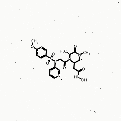 COc1ccc(S(=O)(=O)N(CC(=O)N2C(CC(=O)NO)CN(C)C(=O)[C@@H]2C)c2cccnc2)cc1